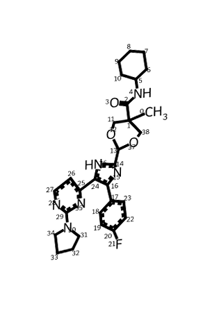 CC1(C(=O)NC2CCCCC2)COC(c2nc(-c3ccc(F)cc3)c(-c3ccnc(N4CCCC4)n3)[nH]2)OC1